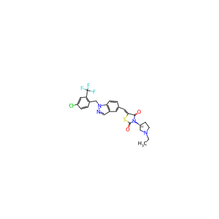 CCN1CC[C@H](N2C(=O)SC(=Cc3ccc4c(cnn4Cc4ccc(Cl)cc4C(F)(F)F)c3)C2=O)C1